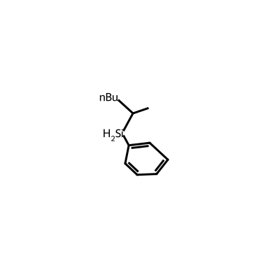 CCCCC(C)[SiH2]c1ccccc1